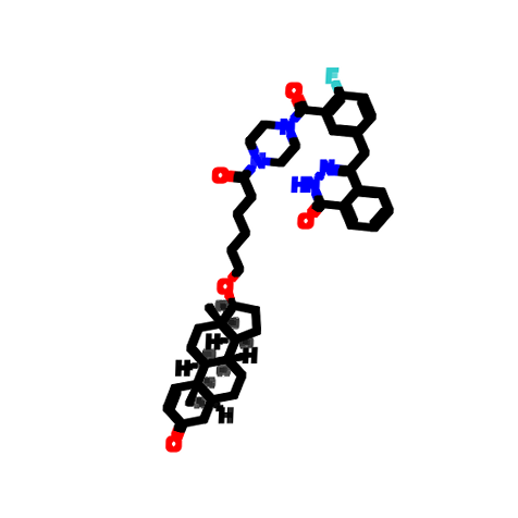 C[C@]12C=CC(=O)C[C@@H]1CC[C@@H]1[C@@H]2CC[C@]2(C)[C@@H](OCCCCCC(=O)N3CCN(C(=O)c4cc(Cc5n[nH]c(=O)c6ccccc56)ccc4F)CC3)CC[C@@H]12